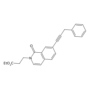 CCOC(=O)CCn1ccc2ccc(C#CCc3ccccc3)cc2c1=O